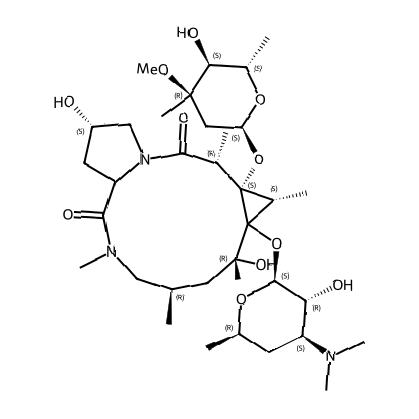 CO[C@]1(C)C[C@H](O[C@]23[C@H](C)C2(O[C@@H]2O[C@H](C)C[C@H](N(C)C)[C@H]2O)[C@](C)(O)C[C@@H](C)CN(C)C(=O)C2C[C@H](O)CN2C(=O)[C@@H]3C)O[C@@H](C)[C@@H]1O